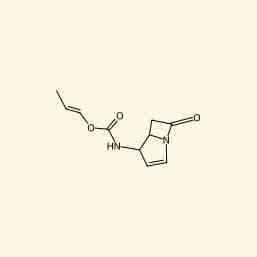 CC=COC(=O)NC1C=CN2C(=O)CC12